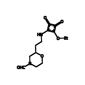 CCOc1c(NCCC2CN(C=O)CCO2)c(=O)c1=O